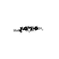 COC(=O)C1CCN1Cc1ccc(OCCc2nc(-c3ccc(C)cc3)oc2C)cc1